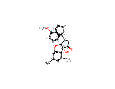 COc1ccc([C@@]23Oc4cc(C)cc(C)c4[C@]2(O)C(=O)C[C@@H]3c2ccccc2)cc1